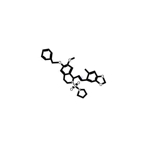 COc1cc2c(cc1OCc1ccccc1)CCN(S(=O)(=O)N1CCCC1)C2/C=C/c1cc2c(cc1C)OCO2